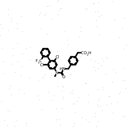 CN(C(=O)NCc1ccc(CC(=O)O)cc1)c1cc(Cl)c(-c2ccccc2C(F)(F)F)c(Cl)c1